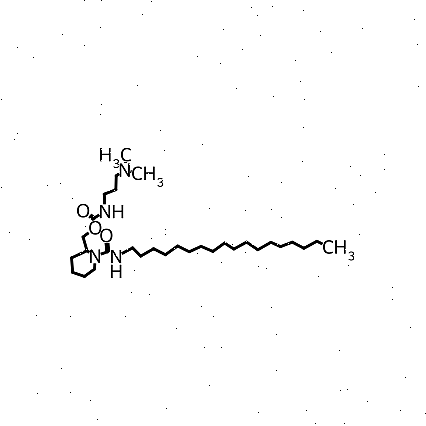 CCCCCCCCCCCCCCCCCCNC(=O)N1CCCCC1COC(=O)NCCCN(C)C